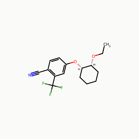 CCO[C@@H]1CCCC[C@@H]1Oc1ccc(C#N)c(C(F)(F)F)c1